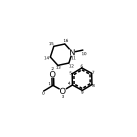 CC(=O)Oc1ccccc1.CN1CCCCC1